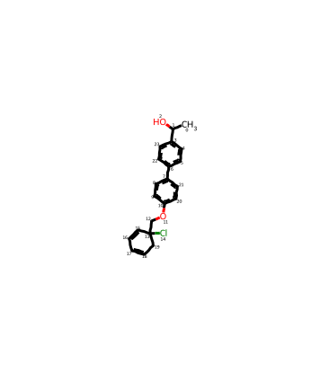 CC(O)c1ccc(-c2ccc(OCC3(Cl)C=CC=CC3)cc2)cc1